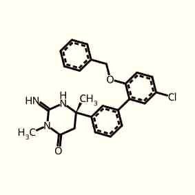 CN1C(=N)N[C@](C)(c2cccc(-c3cc(Cl)ccc3OCc3ccccc3)c2)CC1=O